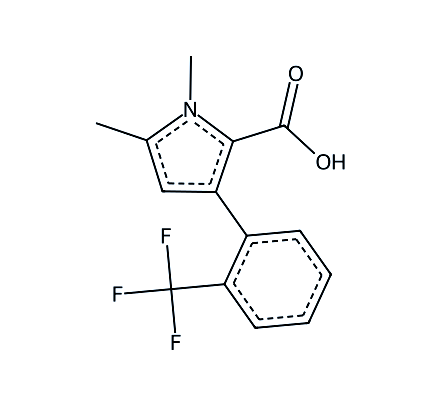 Cc1cc(-c2ccccc2C(F)(F)F)c(C(=O)O)n1C